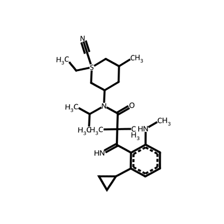 CCS1(C#N)CC(C)CC(N(C(=O)C(C)(C)C(=N)c2c(NC)cccc2C2CC2)C(C)C)C1